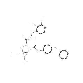 CC1C2N(C(=O)Cc3ccc(Oc4ccccc4)cc3)C(C(=O)NCc3cccc(Cl)c3Cl)C[C@]12C